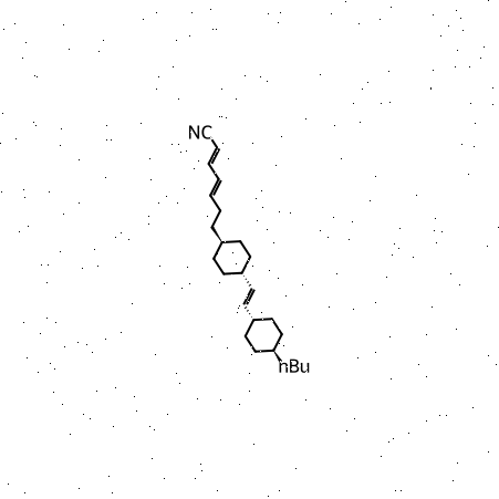 CCCC[C@H]1CC[C@H](C=C[C@H]2CC[C@H](CCC=CC=CC#N)CC2)CC1